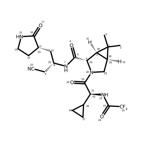 CC1(C)[C@@H]2[C@@H](C(=O)N[C@H](CC#N)C[C@@H]3CCNC3=O)N(C(=O)[C@@H](NC(=O)C(F)(F)F)C3CC3)C[C@@H]21